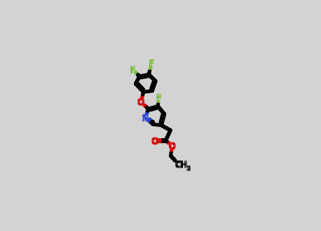 CCOC(=O)Cc1cnc(Oc2ccc(F)c(F)c2)c(F)c1